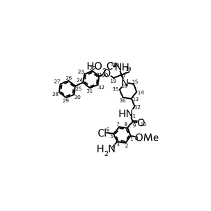 COc1cc(N)c(Cl)cc1C(=O)NCC1CCN(C(C)(COc2ccc(-c3ccccc3)cc2)NC(=O)O)CC1